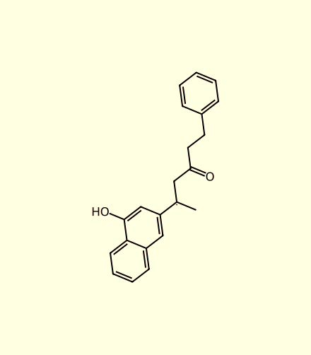 C[C](CC(=O)CCc1ccccc1)c1cc(O)c2ccccc2c1